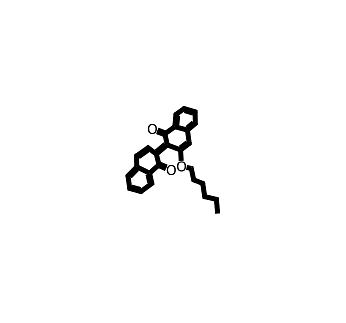 CCCCCCOC1=Cc2ccccc2C(=O)C1=C1C=Cc2ccccc2C1=O